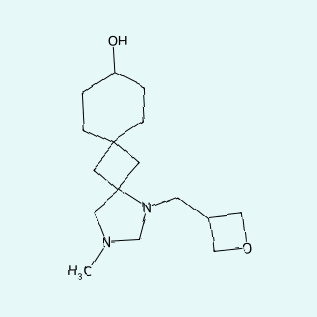 CN1CN(CC2COC2)C2(C1)CC1(CCC(O)CC1)C2